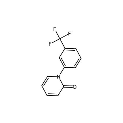 O=c1ccccn1-c1cccc(C(F)(F)F)c1